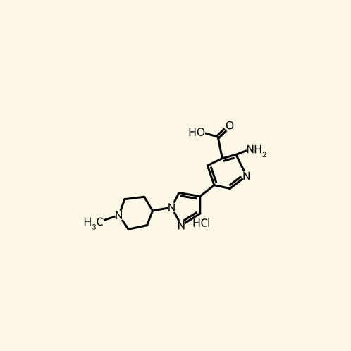 CN1CCC(n2cc(-c3cnc(N)c(C(=O)O)c3)cn2)CC1.Cl